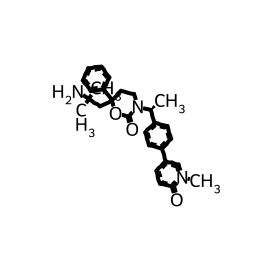 C[C@@H](c1ccc(-c2ccc(=O)n(C)c2)cc1)N1CCC(CC(C)(C)N)(c2ccccc2)OC1=O